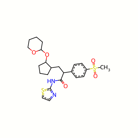 CS(=O)(=O)c1ccc(C(CC2CCCC2OC2CCCCO2)C(=O)Nc2nccs2)cc1